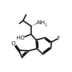 CC(C)[C@H](N)C(O)c1cc(F)ccc1-c1cc1=O